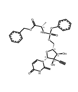 C#C[C@@]1(O)[C@H](O)[C@@H](COP(=O)(N[C@@H](C)C(=O)OCc2ccccc2)Oc2ccccc2)O[C@H]1N1C=CC(=O)NC1=C